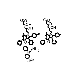 CC(C)c1c(C(=O)Nc2ccccc2)c(-c2ccccc2)c(-c2ccc(F)cc2)n1CC[C@@H](O)C[C@@H](O)CC(=O)[O-].CC(C)c1c(C(=O)Nc2ccccc2)c(-c2ccccc2)c(-c2ccc(F)cc2)n1CC[C@@H](O)C[C@@H](O)CC(=O)[O-].NCCN(C1CCCCC1)C1CCCCC1.[Ca+2]